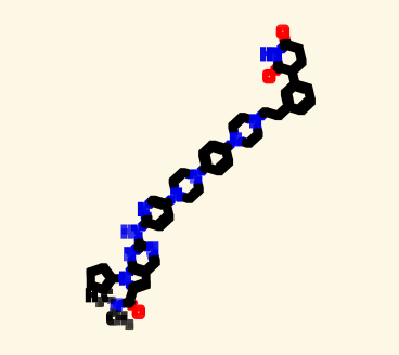 CN(C)C(=O)c1cc2cnc(Nc3ccc(N4CCN(c5ccc(N6CCN(CCc7cccc(C8CCC(=O)NC8=O)c7)CC6)cc5)CC4)cn3)nc2n1C1CCCC1